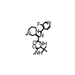 CNC(=O)C(NC(=O)c1nc(-c2ccncc2F)n2c1CN(C)CCC2)C(C)(C)C